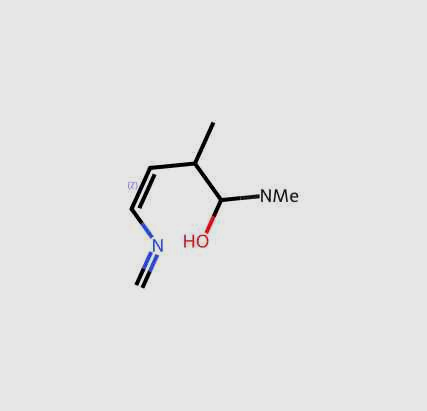 C=N/C=C\C(C)C(O)NC